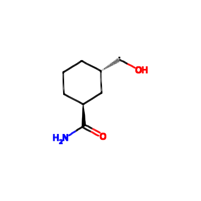 NC(=O)[C@H]1CCC[C@H]([CH]O)C1